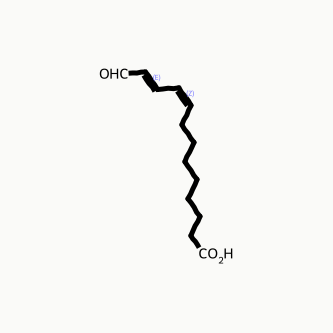 O=C/C=C/C=C\CCCCCCCC(=O)O